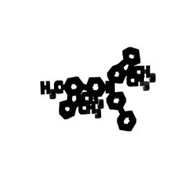 Cc1ccc(-c2ccc(N(c3ccc(-c4ccccc4)cc3)c3ccc4c(c3)C(C)(C)c3ccccc3-4)cc2)c2c1-c1ccccc1C2(C)C